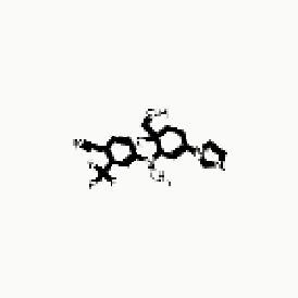 CN(c1ccc(C#N)c(C(F)(F)F)c1)C1C=C(n2ccnc2)CCC1(C)CO